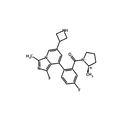 Cc1nc(F)c2c(-c3ccc(F)cc3C(=O)N3CCC[C@H]3C)cc(C3CNC3)cn12